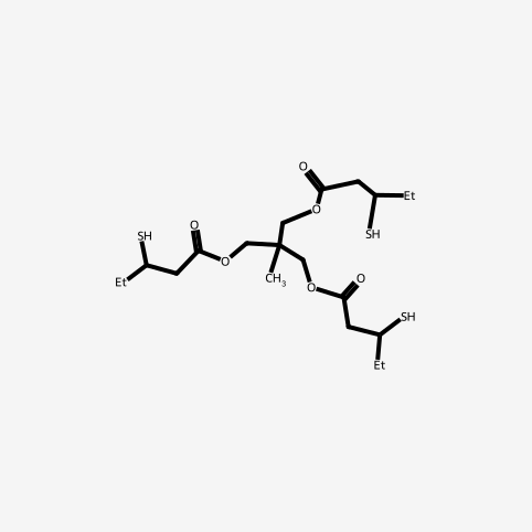 CCC(S)CC(=O)OCC(C)(COC(=O)CC(S)CC)COC(=O)CC(S)CC